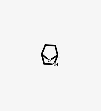 C1CC2CN[C]1O2